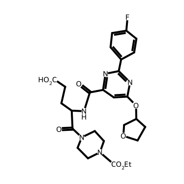 CCOC(=O)N1CCN(C(=O)C(CCC(=O)O)NC(=O)c2cc(OC3CCOC3)nc(-c3ccc(F)cc3)n2)CC1